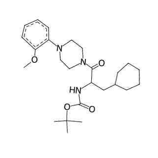 COc1ccccc1N1CCN(C(=O)C(CC2CCCCC2)NC(=O)OC(C)(C)C)CC1